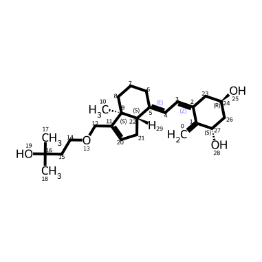 C=C1/C(=C\C=C2/CCC[C@]3(C)C(COCCC(C)(C)O)=CC[C@@H]23)C[C@@H](O)C[C@@H]1O